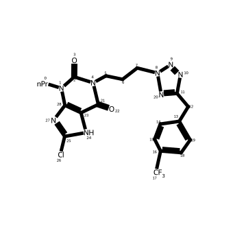 CCCn1c(=O)n(CCCn2nnc(Cc3ccc(C(F)(F)F)cc3)n2)c(=O)c2[nH]c(Cl)nc21